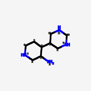 NC1CNCCC1C1CNCNC1